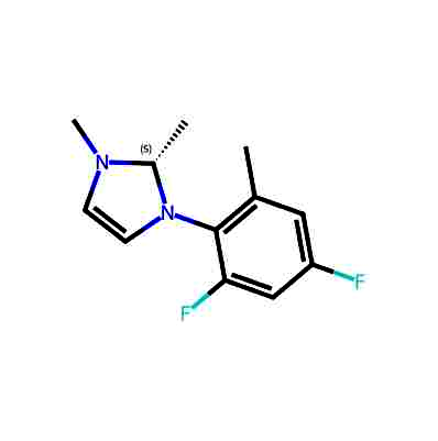 Cc1cc(F)cc(F)c1N1C=CN(C)[C@@H]1C